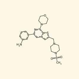 CS(=O)(=O)N1CCN(Cc2cc3cc(-c4cccc(N)c4)nc(N4CCOCC4)c3s2)CC1